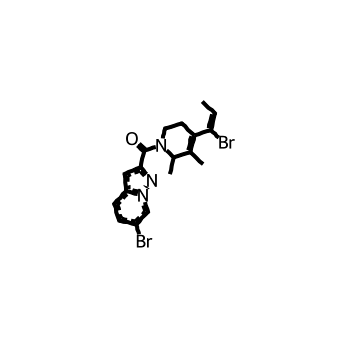 C/C=C(/Br)C1=C(C)C(C)N(C(=O)c2cc3ccc(Br)cn3n2)CC1